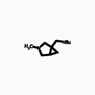 CCCCCC12CC1CN(C)C2